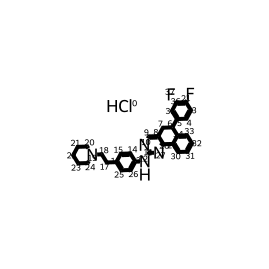 Cl.Fc1ccc(C2Cc3cnc(Nc4ccc(CCN5CCCCC5)cc4)nc3-c3ccccc32)cc1F